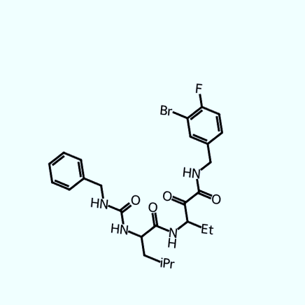 CCC(NC(=O)C(CC(C)C)NC(=O)NCc1ccccc1)C(=O)C(=O)NCc1ccc(F)c(Br)c1